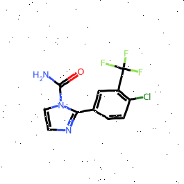 NC(=O)n1ccnc1-c1ccc(Cl)c(C(F)(F)F)c1